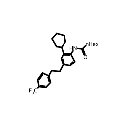 CCCCCCC(=O)Nc1ccc(CCc2ccc(C(F)(F)F)cc2)cc1C1CCCCC1